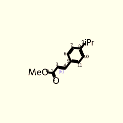 COC(=O)/C=C/c1ccc(C(C)C)cc1